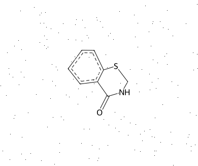 O=C1NCSc2ccccc21